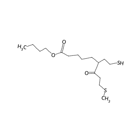 CCCCOC(=O)CCCCC(CCS)C(=O)CCSC